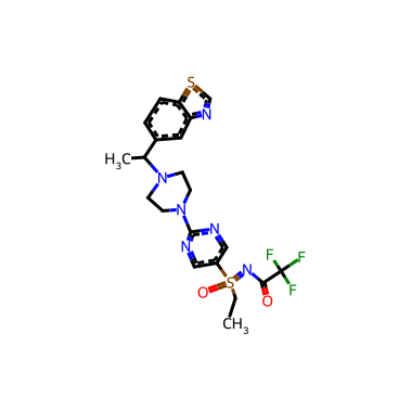 CCS(=O)(=NC(=O)C(F)(F)F)c1cnc(N2CCN(C(C)c3ccc4scnc4c3)CC2)nc1